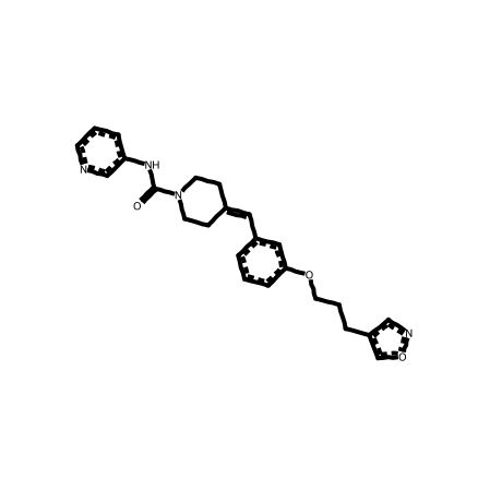 O=C(Nc1cccnc1)N1CCC(=Cc2cccc(OCCCc3cnoc3)c2)CC1